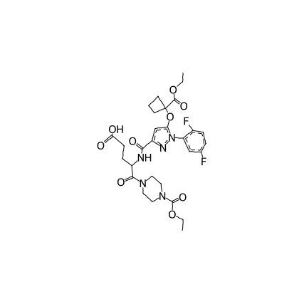 CCOC(=O)N1CCN(C(=O)C(CCC(=O)O)NC(=O)c2cc(OC3(C(=O)OCC)CCC3)n(-c3cc(F)ccc3F)n2)CC1